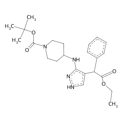 CCOC(=O)C(c1ccccc1)c1c[nH]nc1NC1CCN(C(=O)OC(C)(C)C)CC1